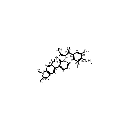 CCc1nc2c(-c3cc4nc(C)n(C)c4cc3C(F)(F)F)cccn2c1C(=O)c1cc(F)c(N)c(F)c1